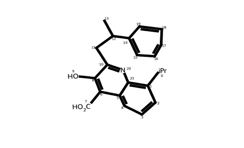 CC(C)c1cccc2c(C(=O)O)c(O)c(CC(C)c3ccccc3)nc12